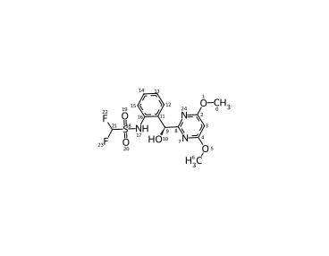 COc1cc(OC)nc([C@@H](O)c2ccccc2NS(=O)(=O)C(F)F)n1